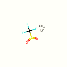 C.O=[S-](=O)C(F)(F)F.[Li+]